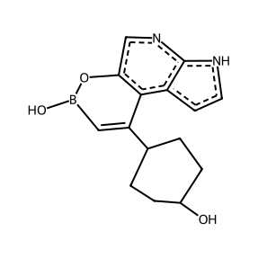 OB1C=C(C2CCC(O)CC2)c2c(cnc3[nH]ccc23)O1